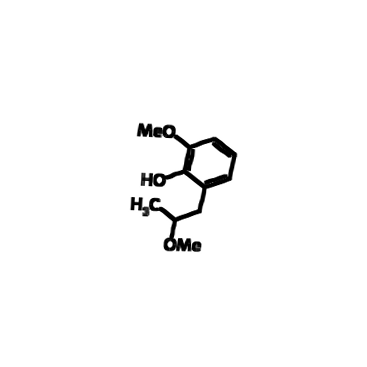 COc1cccc(CC(C)OC)c1O